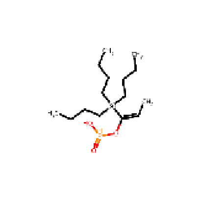 CC=[C](O[PH](=O)O)[Sn]([CH2]CCC)([CH2]CCC)[CH2]CCC